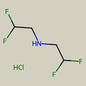 Cl.FC(F)CNCC(F)F